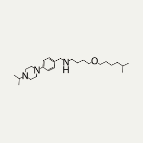 CC(C)CCCCOCCCCNCc1ccc(N2CCN(C(C)C)CC2)cc1